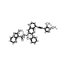 Cc1c(C#Cc2ccnc3cc([C@H](C)NC(=O)c4c(N)nn5cccnc45)c(-c4ccccc4)nc23)cnn1C